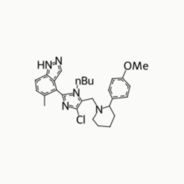 CCCCn1c(-c2c(C)ccc3[nH]ncc23)nc(Cl)c1CN1CCCCC1c1ccc(OC)cc1